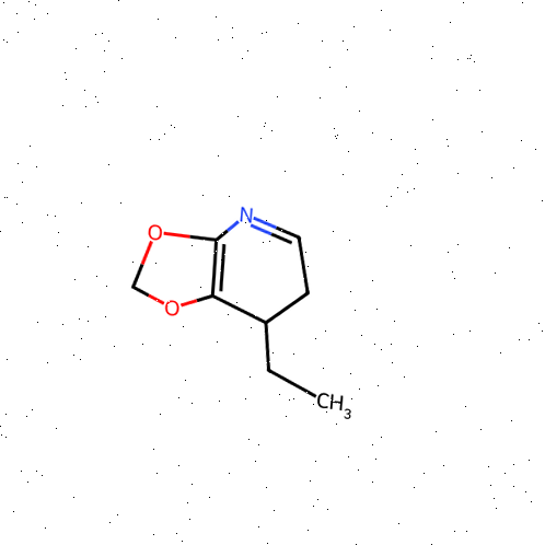 CCC1CC=NC2=C1OCO2